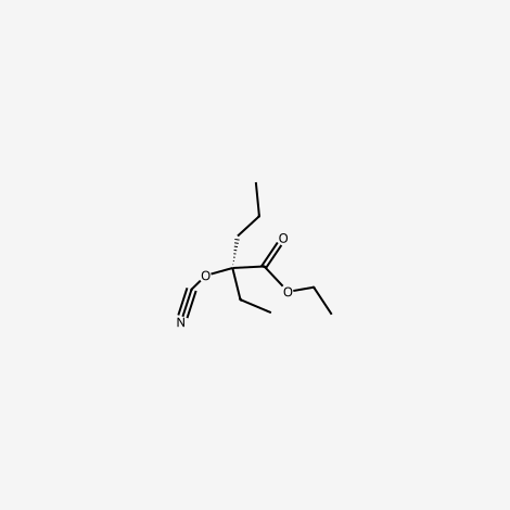 CCC[C@](CC)(OC#N)C(=O)OCC